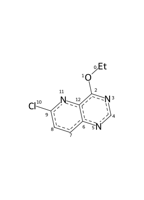 CCOc1ncnc2ccc(Cl)nc12